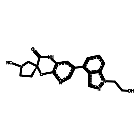 N#CN1CC[C@]2(C1)Oc1ncc(-c3cccc4c3cnn4CCO)cc1NC2=O